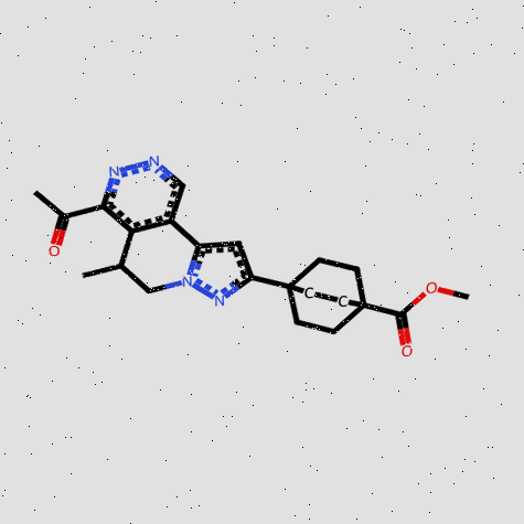 COC(=O)C12CCC(c3cc4n(n3)CC(C)c3c-4cnnc3C(C)=O)(CC1)CC2